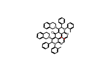 Cc1ccccc1N1c2ncccc2C(C(=O)C2=C(N3CCc4ccccc4C3)C(c3ccccc3)N(c3ccccc3C)c3ncccc32)=C(N2CCc3ccccc3C2)C1c1ccccc1